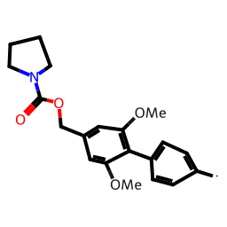 [CH2]c1ccc(-c2c(OC)cc(COC(=O)N3CCCC3)cc2OC)cc1